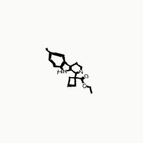 CCOC(=O)C1(C2=NCCc3c2[nH]c2ccc(C)cc32)CCC1